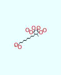 COCOc1c(C)c(C=CC=CC=CC=CC(=O)OC)c(OCOC)c(OC)c1OC